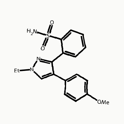 CCn1cc(-c2ccc(OC)cc2)c(-c2ccccc2S(N)(=O)=O)n1